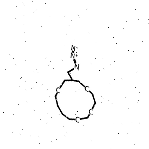 [N-]=[N+]=NCC1CCCCCCCCCCCCC1